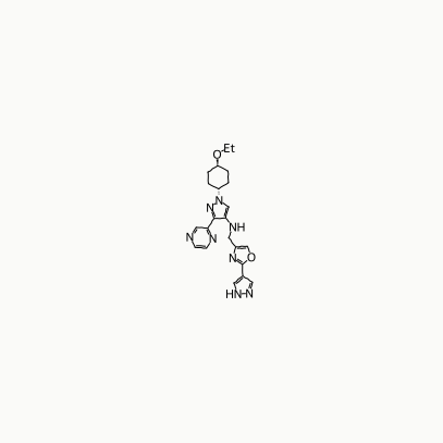 CCO[C@H]1CC[C@H](n2cc(NCc3coc(-c4cn[nH]c4)n3)c(-c3cnccn3)n2)CC1